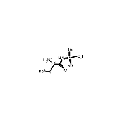 N[C@@H](CS)C(=O)NS(=O)(=O)O